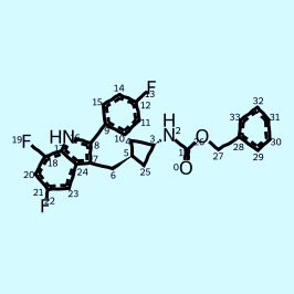 O=C(N[C@H]1C[C@H](Cc2c(-c3ccc(F)cc3)[nH]c3c(F)cc(F)cc23)C1)OCc1ccccc1